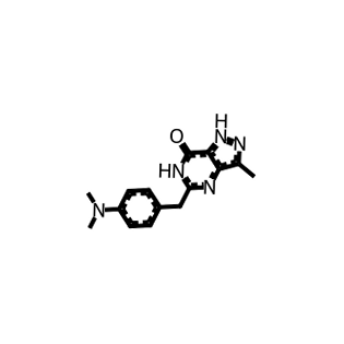 Cc1n[nH]c2c(=O)[nH]c(Cc3ccc(N(C)C)cc3)nc12